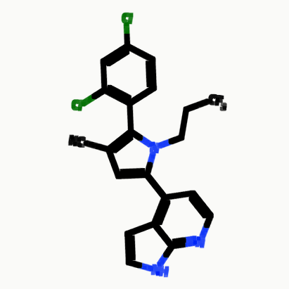 N#Cc1cc(-c2ccnc3[nH]ccc23)n(CCC(F)(F)F)c1-c1ccc(Cl)cc1Cl